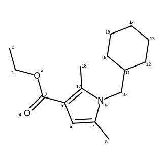 CCOC(=O)c1cc(C)n(CC2CCCCC2)c1C